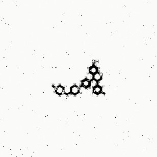 Cc1cccc(C2COc3cc(O)ccc3C2c2ccc(N3CCC(CN4CCN(C)CC4)CC3)cc2)c1